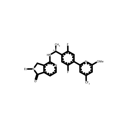 CCN1Cc2c(ccnc2N[C@@H](C)c2cc(F)c(-c3cc(C(F)(F)F)cc(OC)n3)cc2F)C1=O